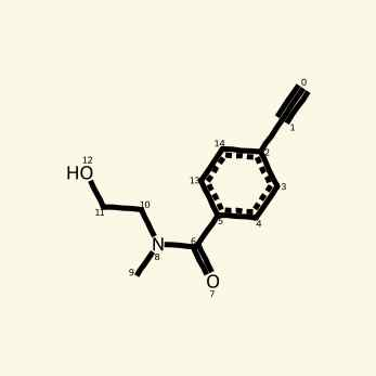 C#Cc1ccc(C(=O)N(C)CCO)cc1